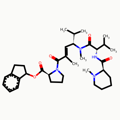 C/C(=C\[C@H](C(C)C)N(C)C(=O)[C@@H](NC(=O)[C@H]1CCCCN1C)C(C)C)C(=O)N1CCC[C@H]1C(=O)OC1CCc2ccccc21